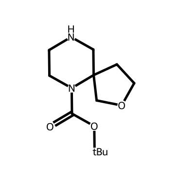 CC(C)(C)OC(=O)N1CCNCC12CCOC2